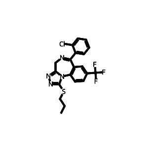 CCCSc1nnc2n1-c1ccc(C(F)(F)F)cc1C(c1ccccc1Cl)=NC2